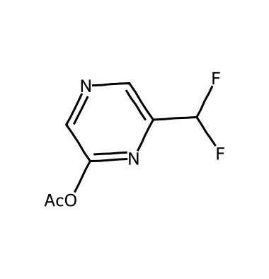 CC(=O)Oc1cncc(C(F)F)n1